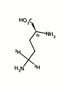 [2H]C([2H])(N)CC[C@H](N)C(=O)O